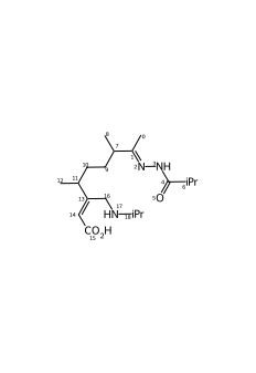 C/C(=N\NC(=O)C(C)C)C(C)CCC(C)/C(=C/C(=O)O)CNC(C)C